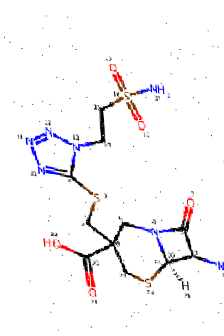 NC1C(=O)N2CC(CSc3nnnn3CCS(N)(=O)=O)(C(=O)O)CS[C@H]12